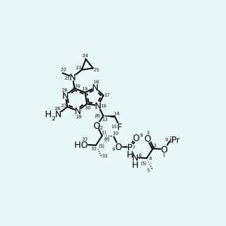 CC(C)OC(=O)[C@H](C)N[PH](=O)OC[C@@H](O[C@H](CF)n1cnc2c(N(C)C3CC3)nc(N)nc21)[C@H](C)O